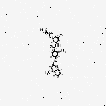 COC(=O)Cc1cc(F)cc(NC(=O)c2ccc(OC[C@@H]3CN(C)c4ccccc4O3)cc2C)c1